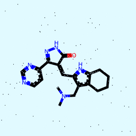 CN(C)Cc1c(C=C2C(=O)NN=C2c2ccncn2)[nH]c2c1CCCC2